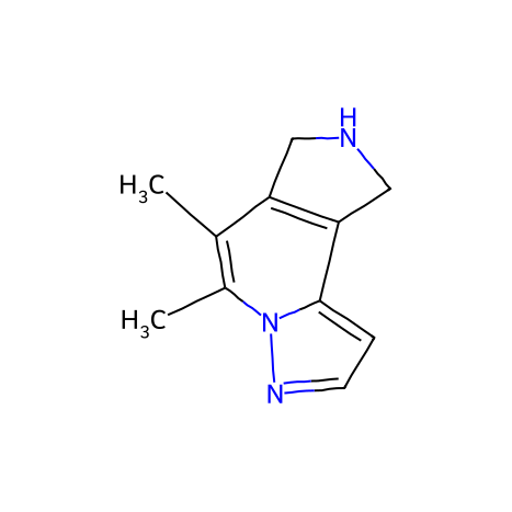 Cc1c2c(c3ccnn3c1C)CNC2